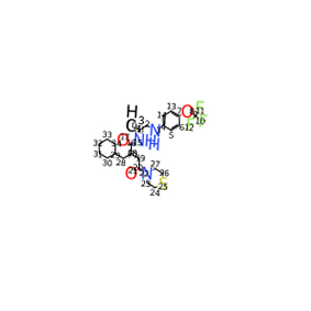 C[C@@H](CNc1ccc(OC(F)(F)F)cc1)NC(=O)[C@@H](CC(=O)N1CCSCC1)CC1CCCCC1